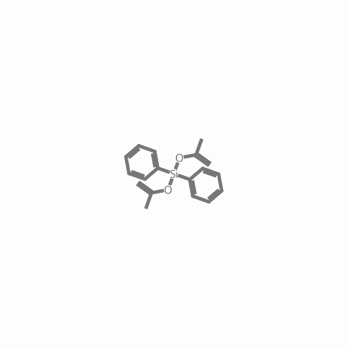 C=C(C)O[Si](OC(=C)C)(c1ccccc1)c1ccccc1